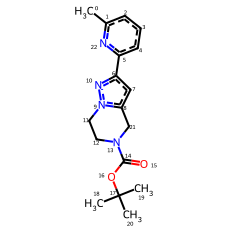 Cc1cccc(-c2cc3n(n2)CCN(C(=O)OC(C)(C)C)C3)n1